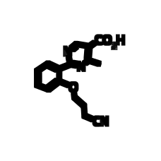 Cc1nc(-c2ccccc2OCCCC#N)ncc1C(=O)O